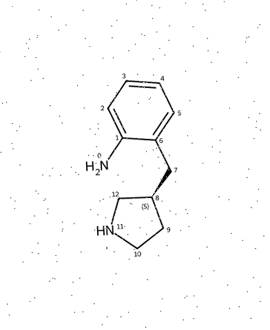 Nc1ccccc1C[C@H]1CCNC1